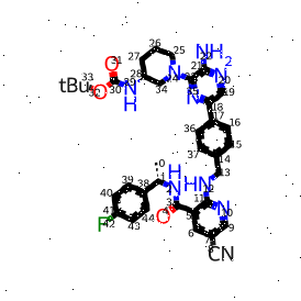 C[C@H](NC(=O)c1cc(C#N)cnc1NCc1ccc(-c2cnc(N)c(N3CCC[C@@H](NC(=O)OC(C)(C)C)C3)n2)cc1)c1ccc(F)cc1